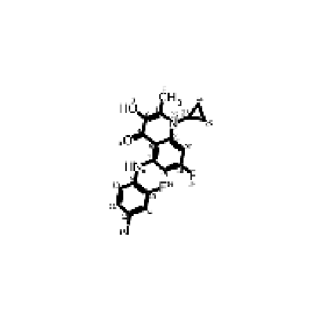 Cc1c(O)c(=O)c2c(Nc3ccc(I)cc3F)cc(F)cc2n1C1CC1